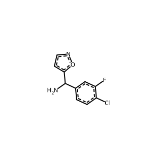 NC(c1ccc(Cl)c(F)c1)c1ccno1